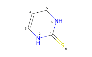 S=C1NC=CCN1